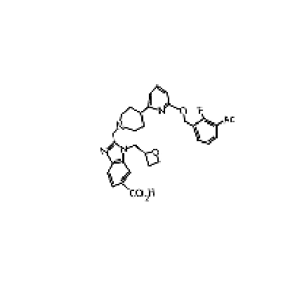 CC(=O)c1cccc(COc2cccc(C3CCN(Cc4nc5ccc(C(=O)O)cc5n4C[C@@H]4CCO4)CC3)n2)c1F